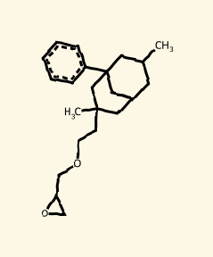 CC1CC2CC(C)(CCOCC3CO3)CC(c3ccccc3)(C1)C2